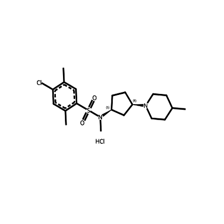 Cc1cc(S(=O)(=O)N(C)[C@H]2CC[C@@H](N3CCC(C)CC3)C2)c(C)cc1Cl.Cl